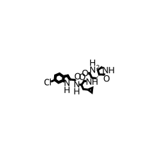 NC(=O)C(C[C@@H]1CCNC1=O)NC(=O)C(CC1CC1)NC(=O)c1cc2ccc(Cl)cc2[nH]1